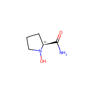 NC(=O)[C@@H]1CCCN1O